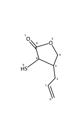 C=CCC1COC(=O)C1S